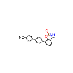 CC1NS(=O)Oc2c(-c3ccc(-c4ccc(C#N)cc4)cc3)cccc21